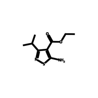 CCOC(=O)c1c(C(C)C)nsc1N